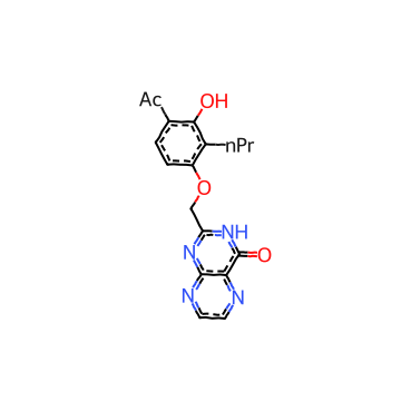 CCCc1c(OCc2nc3nccnc3c(=O)[nH]2)ccc(C(C)=O)c1O